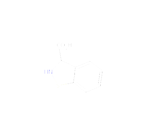 O=C(O)C1NSc2ccccc21